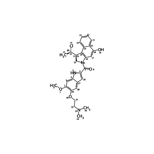 COc1cc2[nH]c(C(=O)N3C[C@@H]([C@@H](C)Cl)c4c3cc(O)c3ccccc43)cc2cc1OCCN(C)C